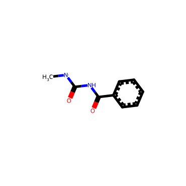 C[N]C(=O)NC(=O)c1ccccc1